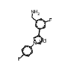 Cl.NCc1cc(F)cc(-c2ccn(-c3ccc(F)cc3)c2)c1